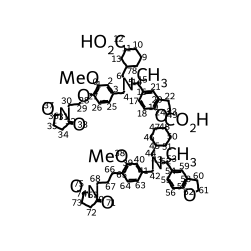 COc1cc(CN(CC2CCCC(C(=O)O)C2)C(C)c2ccc3c(c2)CCO3)ccc1OCCN1C(=O)CCC1=O.COc1cc(CN(C[C@H]2CC[C@H](C(=O)O)CC2)C(C)c2ccc3c(c2)CCO3)ccc1CCCN1C(=O)CCC1=O